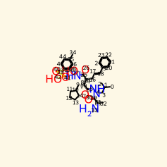 CC(C)CN(NC(=O)[C@H](CC1CCCC1)[C@H](CC=Cc1ccccc1)C(=O)NO)C(=O)[C@@H](C)N.Cc1ccc(S(=O)(=O)O)cc1